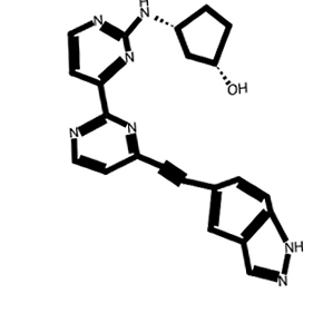 O[C@H]1CC[C@@H](Nc2nccc(-c3nccc(C#Cc4ccc5[nH]ncc5c4)n3)n2)C1